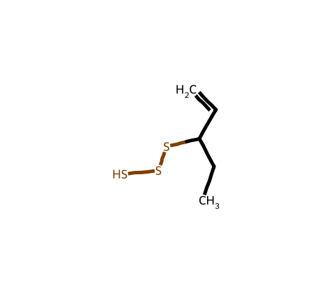 C=CC(CC)SSS